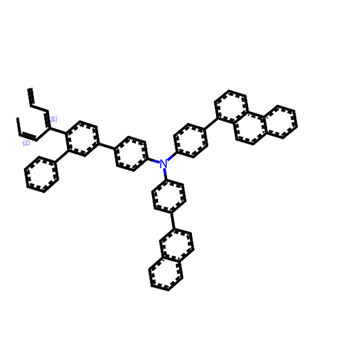 C=C/C=C(\C=C/C)c1ccc(-c2ccc(N(c3ccc(-c4ccc5ccccc5c4)cc3)c3ccc(-c4cccc5c4ccc4ccccc45)cc3)cc2)cc1-c1ccccc1